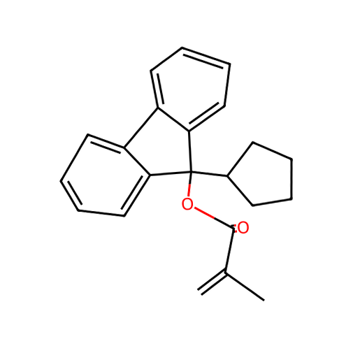 C=C(C)C(=O)OC1(C2CCCC2)c2ccccc2-c2ccccc21